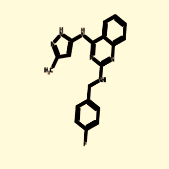 Cc1cc(Nc2nc(NCc3ccc(F)cc3)nc3ccccc23)[nH]n1